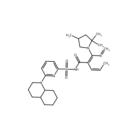 C=N/C(=C(\C=C/C)C(=O)NS(=O)(=O)c1cccc(N2CCCC3CCCCC32)n1)N1CC(C)CC1(C)C